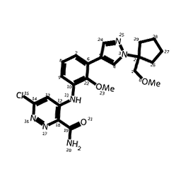 COCC1(n2cc(-c3cccc(Nc4cc(Cl)nnc4C(N)=O)c3OC)cn2)CCCC1